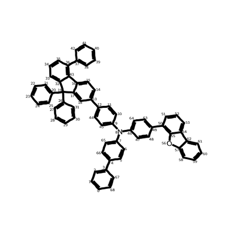 c1ccc(-c2ccc(N(c3ccc(-c4ccc5c(c4)C(c4ccccc4)(c4ccccc4)c4cccc(-c6ccccc6)c4-5)cc3)c3ccc(-c4cccc5c4oc4ccccc45)cc3)cc2)cc1